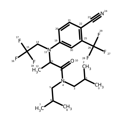 CC(C)CN(CC(C)C)C(=O)C(C)N(CC(F)(F)F)c1ccc(C#N)c(C(F)(F)F)c1